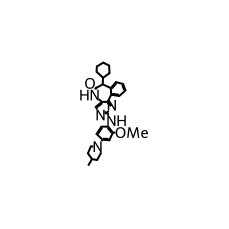 COc1cc(N2CCC(C)CC2)ccc1Nc1ncc2c(n1)-c1ccccc1C(C1CCCCC1)C(=O)N2